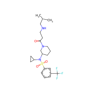 CC(C)CNCCC(=O)N1CCCC(N(C2CC2)S(=O)(=O)c2cccc(C(F)(F)F)c2)C1